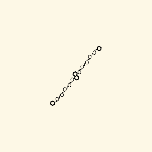 c1ccc(COCCOCCOCCOCCOc2cccc3c(OCCOCCOCCOCCOCc4ccccc4)cccc23)cc1